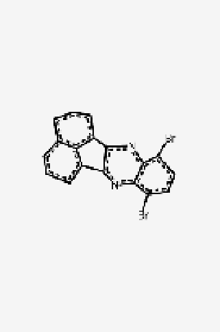 Brc1ccc(Br)c2nc3c(nc12)-c1cccc2cccc-3c12